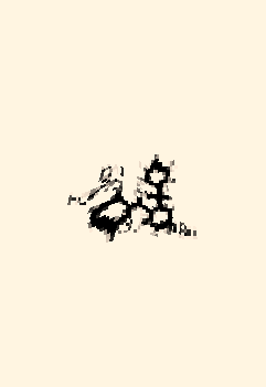 CCCCCCCCC(c1ccccc1OP(O)O)c1c(C(C)(C)C)cc(C(C)(C)C)cc1C(C)(C)c1ccccc1